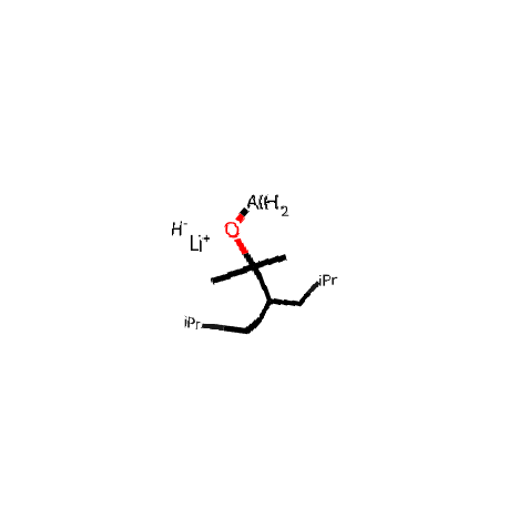 CC(C)CC(CC(C)C)C(C)(C)[O][AlH2].[H-].[Li+]